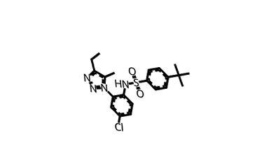 CCc1nnn(-c2cc(Cl)ccc2NS(=O)(=O)c2ccc(C(C)(C)C)cc2)c1C